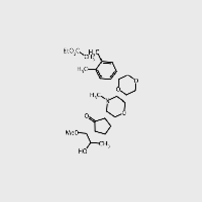 C1COCCO1.CCOC(C)=O.CN1CCOCC1.COCC(C)O.Cc1ccccc1C.O=C1CCCC1